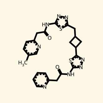 Cc1ccc(CC(=O)Nc2nnc(CC3CC(c4nnc(NC(=O)Cc5ccccn5)s4)C3)s2)nc1